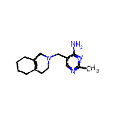 Cc1ncc(CN2CCC3=C(CCCC3)C2)c(N)n1